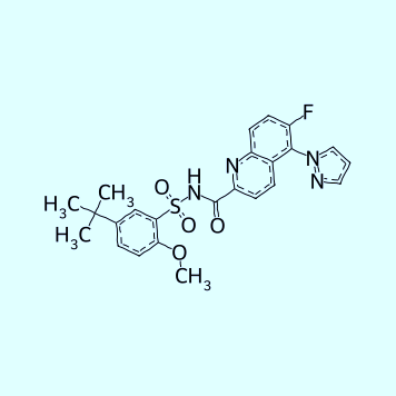 COc1ccc(C(C)(C)C)cc1S(=O)(=O)NC(=O)c1ccc2c(-n3cccn3)c(F)ccc2n1